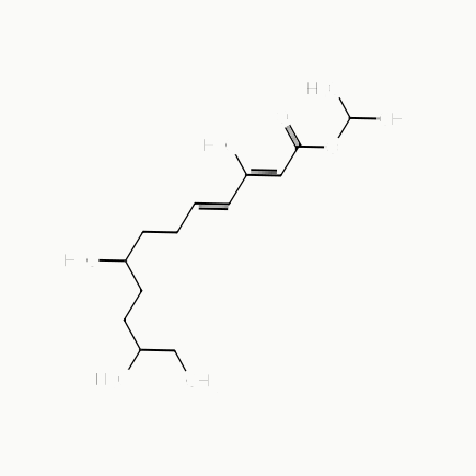 CCC(C)CCC(C)CC/C=C/C(C)=C/C(=O)OC(C)C